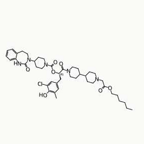 CCCCCCOC(=O)CN1CCC(C2CCN(C(=O)[C@@H](Cc3cc(C)c(O)c(Cl)c3)OC(=O)N3CCC(N4CCc5ccccc5NC4=O)CC3)CC2)CC1